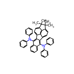 CC1(C)c2ccc3c4c(ccc(c24)C1(C)C)-c1c-3c(N(c2ccccc2)c2ccccc2)c2ccccc2c1N(c1ccccc1)c1ccccc1